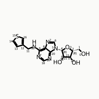 OC[C@H]1O[C@@H](n2cnc3c(NCc4ccsc4)ncnc32)[C@H](O)[C@@H]1O